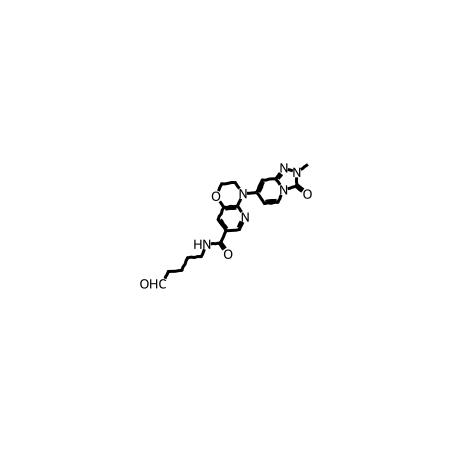 Cn1nc2cc(N3CCOc4cc(C(=O)NCCCCC=O)cnc43)ccn2c1=O